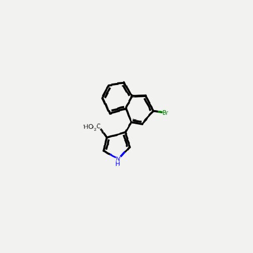 O=C(O)c1c[nH]cc1-c1cc(Br)cc2ccccc12